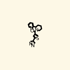 O=C(c1csc(C2C=NN=C2)c1)N1CCCCC1c1ccccn1